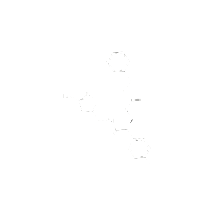 O=C(NC[C@H](C(=O)NCC1CC(Br)=NO1)c1ccc(O)cc1)OCc1cccnc1